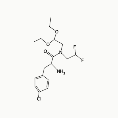 CCOC(CN(CC(F)F)C(=O)C(N)Cc1ccc(Cl)cc1)OCC